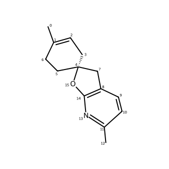 CC1=CC[C@]2(CC1)Cc1ccc(C)nc1O2